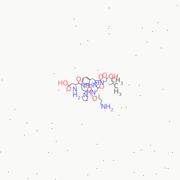 CC(C)C[C@H](NC(=O)[C@H](Cc1ccccc1)NC(=O)[C@H](CCCCN)NC(=O)[C@@H]1CCCN1C(=O)CNC(=O)[C@@H](N)CC(=O)O)C(=O)O